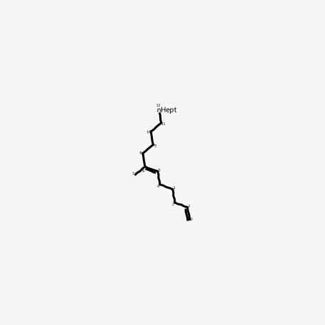 C=CCCCC=C(C)CCCCCCCCCCC